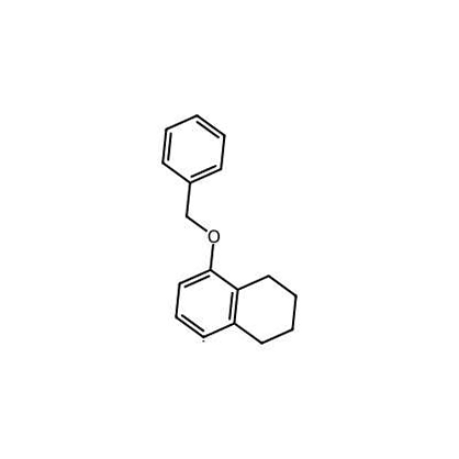 [c]1ccc(OCc2ccccc2)c2c1CCCC2